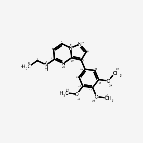 [CH2][CH]Nc1ccn2ncc(-c3cc(OC)c(OC)c(OC)c3)c2n1